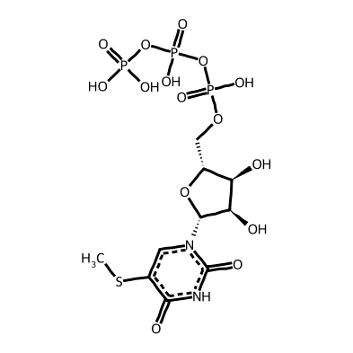 CSc1cn([C@@H]2O[C@H](COP(=O)(O)OP(=O)(O)OP(=O)(O)O)[C@@H](O)[C@H]2O)c(=O)[nH]c1=O